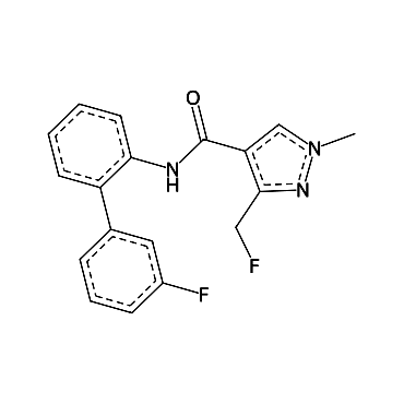 Cn1cc(C(=O)Nc2ccccc2-c2cccc(F)c2)c(CF)n1